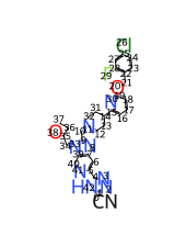 N#Cc1nnc(-c2cc3nc(CN4CCC(c5cccc(OCc6ccc(Cl)cc6F)n5)CC4)n(CC4CCO4)c3cn2)[nH]1